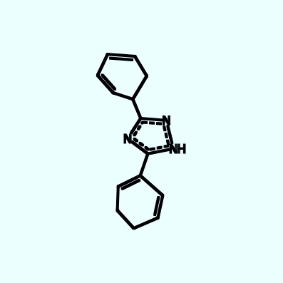 C1=CCC(c2n[nH]c(C3=CCCC=C3)n2)C=C1